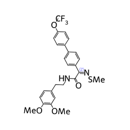 COc1ccc(CCNC(=O)/C(=N\SC)c2ccc(-c3ccc(OC(F)(F)F)cc3)cc2)cc1OC